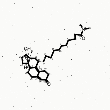 CN(C)C(=O)CCCCCCCCCC[C@H]1C[C@]2(C)[C@@H](O)CC[C@H]2[C@@H]2CCC3=CC(=O)CCC3=C12